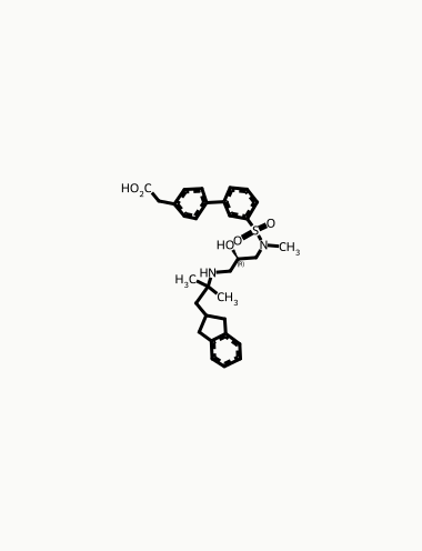 CN(C[C@H](O)CNC(C)(C)CC1Cc2ccccc2C1)S(=O)(=O)c1cccc(-c2ccc(CC(=O)O)cc2)c1